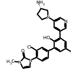 Cn1ccn(-c2ccc(-c3cc(F)cc(-c4cncc(N5CC[C@H](N)C5)c4)c3O)cc2Cl)c1=O